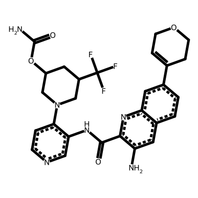 NC(=O)OC1CC(C(F)(F)F)CN(c2ccncc2NC(=O)c2nc3cc(C4=CCOCC4)ccc3cc2N)C1